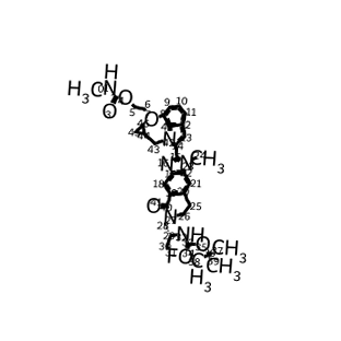 CNC(=O)OCCOc1cccc2cc(-c3nc4cc5c(cc4n3C)CCN(C[C@@H](CF)NC(=O)OC(C)(C)C)C5=O)n(CC3CC3)c12